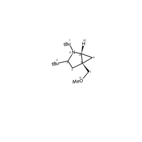 COC[C@@]12CC(C(C)(C)C)N(C(C)(C)C)[C@@H]1C2